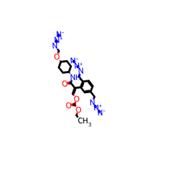 CCOC(=O)O/C=C(/C(=O)N[C@H]1CC[C@@H](OCN=[N+]=[N-])CC1)c1cc(CN=[N+]=[N-])ccc1CN=[N+]=[N-]